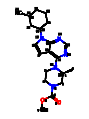 C[C@H]1CN(C(=O)OC(C)(C)C)CCN1c1ncnc2c1ccn2[C@H]1CCC[C@@H](C#N)C1